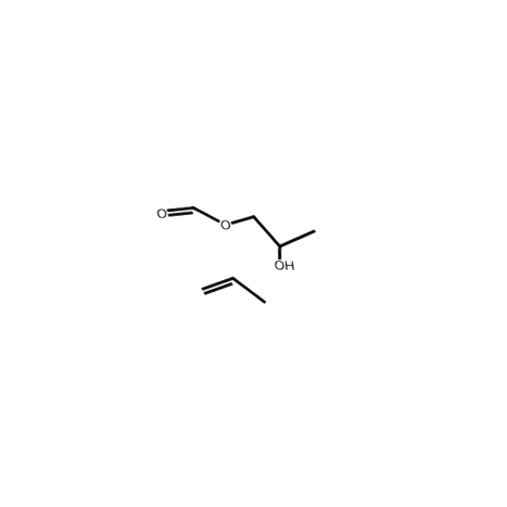 C=CC.CC(O)COC=O